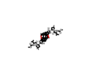 COC(=O)N[C@H](C(=O)N1C[C@H](C)C[C@H]1c1nc2cc(-c3cc4ccc3CCc3ccc(c(-c5cc6nc([C@@H]7C[C@@H](C)CN7C(=O)[C@@H](NC(=O)OC)C(C)C)[nH]c6cc5C5CC5)c3)CC4)c(C3CC3)cc2[nH]1)C(C)C